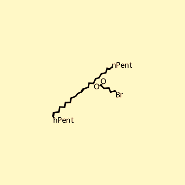 CCCCC/C=C\CCCCCCCC/C=C/CCC(CCCC/C=C/CCCCC)OC(=O)CCCCBr